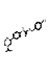 CC(=O)N1CCOC(c2ccc(NC(=O)OCc3ccc(Cl)cc3)cc2)C1